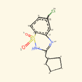 O=S1(=O)NC(C2CCCC2)=Nc2cc(Cl)ccc21